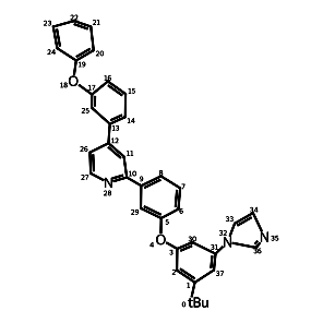 CC(C)(C)c1cc(Oc2cccc(-c3cc(-c4cccc(Oc5ccccc5)c4)ccn3)c2)cc(-n2ccnc2)c1